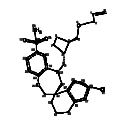 C=CCOC[C@@H]1CC[C@H]1CN1C[C@@]2(CCCc3cc(Cl)ccc32)COc2ccc(S(N)(=O)=O)cc21